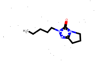 CCCCCn1nc2n(c1=O)CCC2